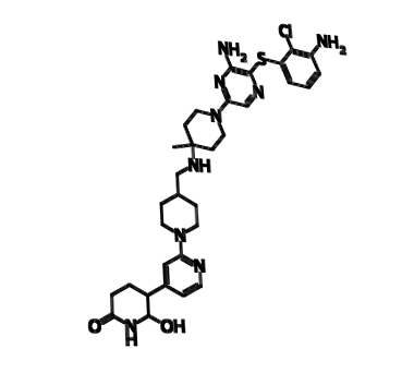 CC1(NCC2CCN(c3cc(C4CCC(=O)NC4O)ccn3)CC2)CCN(c2cnc(Sc3cccc(N)c3Cl)c(N)n2)CC1